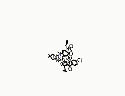 C#CCN1C(=O)COc2cc(F)c(/N=c3\snc4n3CC(C)(C)C4)cc21.CS(=O)(=O)c1cc(Cl)ccc1C(=O)c1cnoc1C1CC1